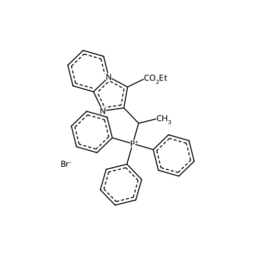 CCOC(=O)c1c(C(C)[P+](c2ccccc2)(c2ccccc2)c2ccccc2)nc2ccccn12.[Br-]